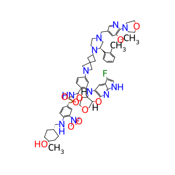 COc1cc(CN2CCN(C3CC4(C3)CN(c3ccc(C(=O)NS(=O)(=O)c5ccc(NC[C@H]6CC[C@](C)(O)CC6)c([N+](=O)[O-])c5)c(N5c6cc7c(F)c[nH]c7nc6O[C@H]6COCC[C@@H]65)c3)C4)[C@H](c3ccccc3C)C2)cnc1N1CCOCC1